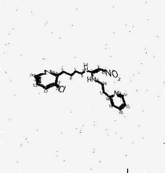 O=[N+]([O-])C=C(NCCCCc1ncccc1Cl)NCCc1ccccn1